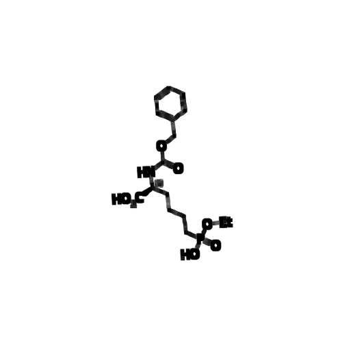 CCOP(=O)(O)CCCC[C@H](NC(=O)OCc1ccccc1)C(=O)O